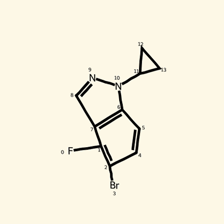 Fc1c(Br)ccc2c1cnn2C1CC1